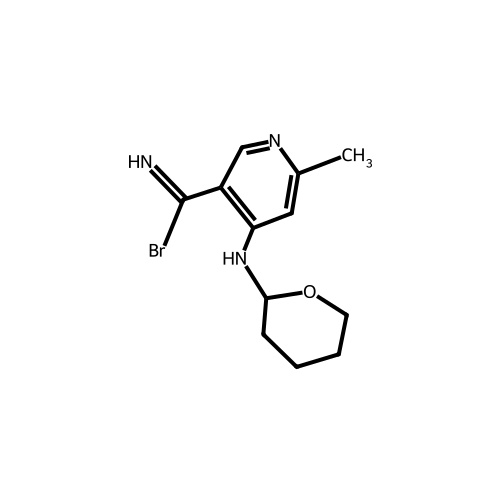 Cc1cc(NC2CCCCO2)c(C(=N)Br)cn1